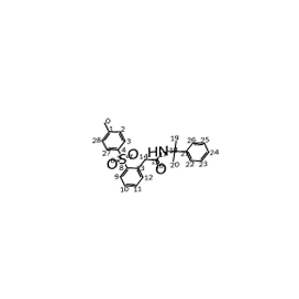 Cc1ccc(S(=O)(=O)c2ccccc2CC(=O)NC(C)(C)c2ccccc2)cc1